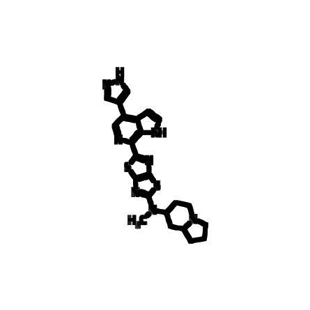 CN(c1nc2sc(-c3ncc(-c4cn[nH]c4)c4cc[nH]c34)nc2s1)C1CCN2CCCC2C1